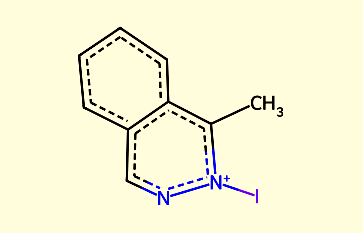 Cc1c2ccccc2cn[n+]1I